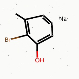 Cc1cccc(O)c1Br.[Na]